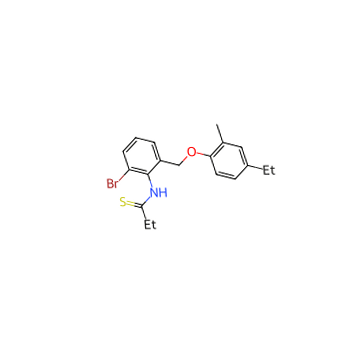 CCC(=S)Nc1c(Br)cccc1COc1ccc(CC)cc1C